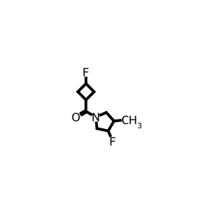 CC1CN(C(=O)C2CC(F)C2)CC1F